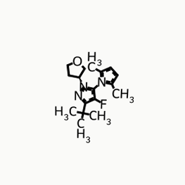 Cc1ccc(C)n1-c1c(F)c(C(C)(C)C)nn1[C@H]1CCOC1